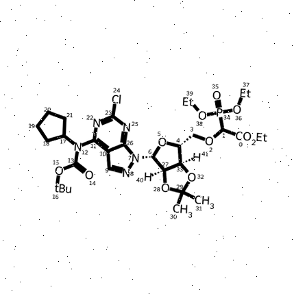 CCOC(=O)C(OC[C@H]1O[C@@H](n2ncc3c(N(C(=O)OC(C)(C)C)C4CCCC4)nc(Cl)nc32)[C@@H]2OC(C)(C)O[C@@H]21)P(=O)(OCC)OCC